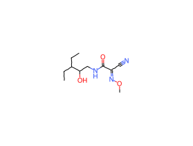 CCC(CC)C(O)CNC(=O)C(C#N)=NOC